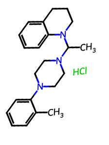 Cc1ccccc1N1CCN(C(C)N2CCCc3ccccc32)CC1.Cl